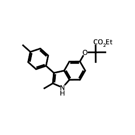 CCOC(=O)C(C)(C)Oc1ccc2[nH]c(C)c(-c3ccc(C)cc3)c2c1